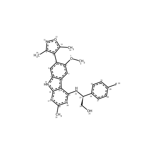 COc1cc2c(cc1-c1c(C)noc1C)[nH]c1nc(C)nc(N[C@H](CO)c3ccc(F)cc3)c12